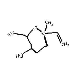 C=C[Si]1(C)CCC(O)C(O)O1